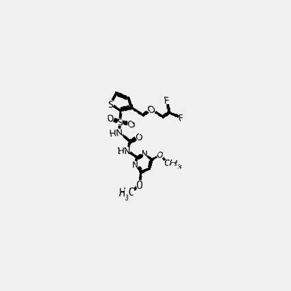 COc1cc(OC)nc(NC(=O)NS(=O)(=O)c2sccc2COCC(F)F)n1